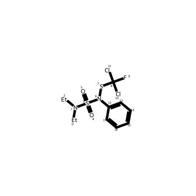 CCN(CC)S(=O)(=O)N(SC(F)(Cl)Cl)c1ccccc1